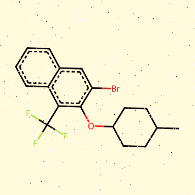 CC1CCC(Oc2c(Br)cc3ccccc3c2C(F)(F)F)CC1